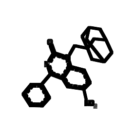 O=c1nc(-c2ccccc2)c2cc([N+](=O)[O-])ccc2n1CC12CC3CC(CC(C3)C1)C2